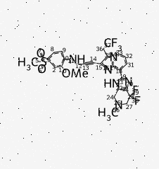 COc1cc(S(C)(=O)=O)ccc1NCC#Cc1nc2c(-c3nc4c([nH]3)CN(C)CC4(F)F)cccn2c1CC(F)(F)F